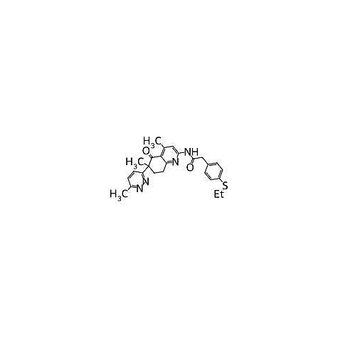 CCSc1ccc(CC(=O)Nc2cc(C)c3c(n2)CCC(C)(c2ccc(C)nn2)C3=O)cc1